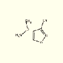 N#Cc1ccon1.[SiH3]O[SiH3]